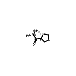 CC(C)[C@H](N)C(=O)C1CCCN1